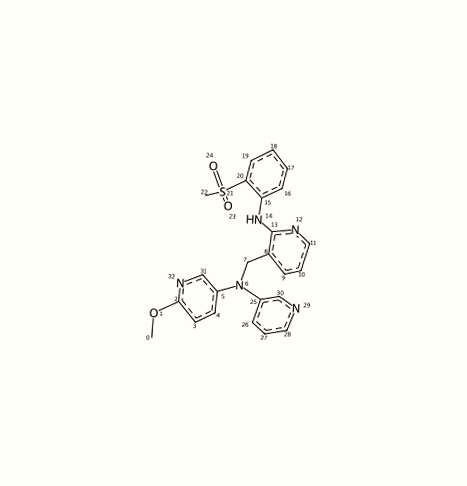 COc1ccc(N(Cc2cccnc2Nc2ccccc2S(C)(=O)=O)c2cccnc2)cn1